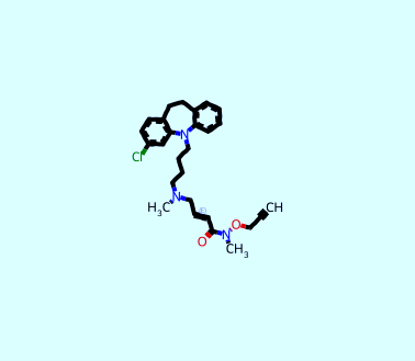 C#CCON(C)C(=O)/C=C/CN(C)CCCCN1c2ccccc2CCc2ccc(Cl)cc21